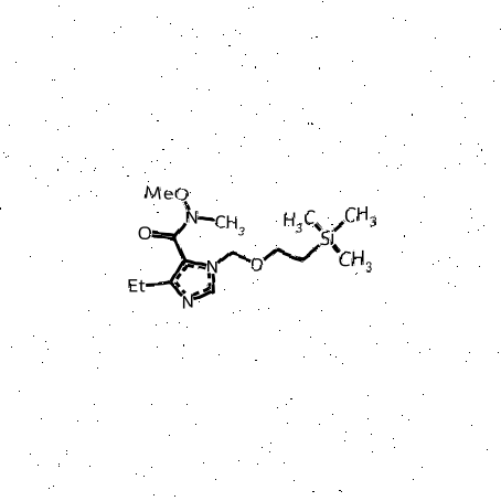 CCc1ncn(COCC[Si](C)(C)C)c1C(=O)N(C)OC